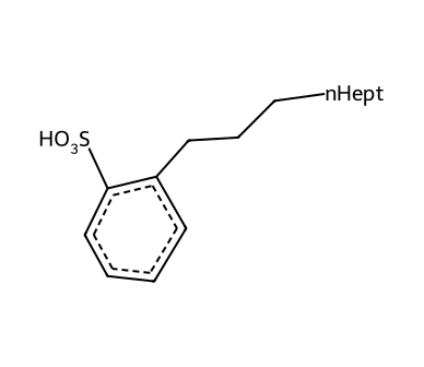 CCCCCCCCCCc1ccccc1S(=O)(=O)O